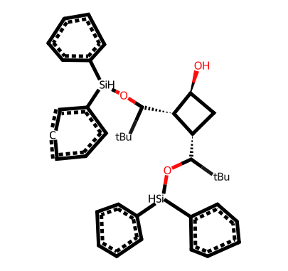 CC(C)(C)C(O[SiH](c1ccccc1)c1ccccc1)[C@H]1[C@@H](C(O[SiH](c2ccccc2)c2ccccc2)C(C)(C)C)C[C@@H]1O